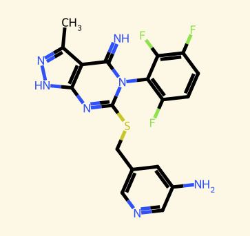 Cc1n[nH]c2nc(SCc3cncc(N)c3)n(-c3c(F)ccc(F)c3F)c(=N)c12